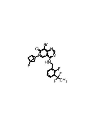 CC(F)(F)c1cccc(CNc2ncnc3c(Br)c(=O)n(C4CC5(F)CC4C5)cc23)c1F